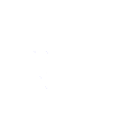 c1ccc2[nH]c(COc3ncnc4ccccc34)nc2c1